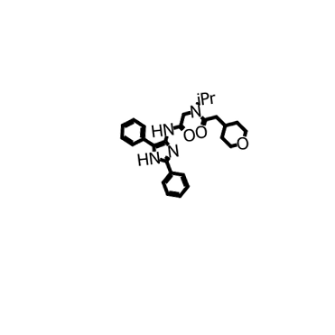 CC(C)N(CC(=O)Nc1nc(-c2ccccc2)[nH]c1-c1ccccc1)C(=O)CC1CCOCC1